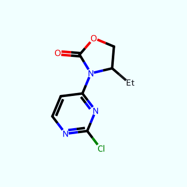 CCC1COC(=O)N1c1ccnc(Cl)n1